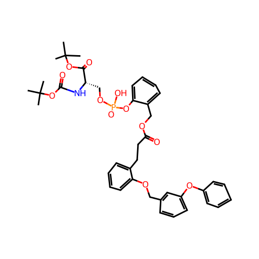 CC(C)(C)OC(=O)N[C@@H](COP(=O)(O)Oc1ccccc1COC(=O)CCc1ccccc1OCc1cccc(Oc2ccccc2)c1)C(=O)OC(C)(C)C